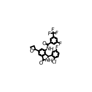 O=C(Nc1cc(C2CCO2)cc2c1C(c1cc(F)ccc1Cl)NC2=O)c1cc(F)cc(C(F)(F)F)c1